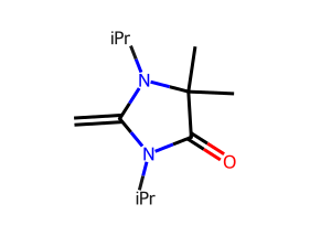 C=C1N(C(C)C)C(=O)C(C)(C)N1C(C)C